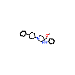 COCC1(Nc2ccccc2)CCN(C2CCC(c3ccccc3)CC2)CC1